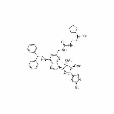 CCn1nnc([C@H]2O[C@@H](n3cnc4c(NCC(c5ccccc5)c5ccccc5)nc(CNC(=O)NCCN(C(C)C)C5CCCC5)nc43)[C@H](OC(C)=O)[C@H]2OC(C)=O)n1